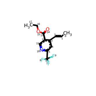 C/C=C/c1cc(C(F)(F)F)ncc1C(=O)OCC